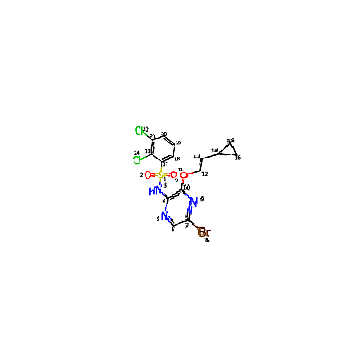 O=S(=O)(Nc1ncc(Br)nc1OCCC1CC1)c1cccc(Cl)c1Cl